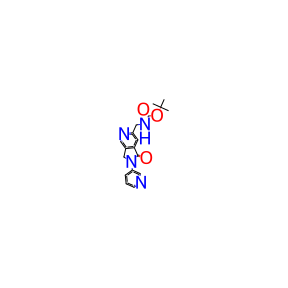 CC(C)(C)OC(=O)NCc1cc2c(cn1)CN(c1cccnc1)C2=O